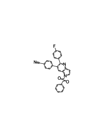 N#Cc1ccc(-c2cc3c(ccn3S(=O)(=O)c3ccccc3)nc2-c2ccc(F)cc2)cc1